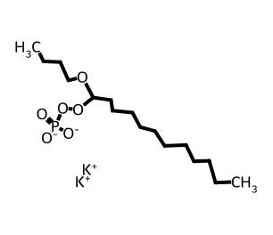 CCCCCCCCCCCC(OCCCC)OOP(=O)([O-])[O-].[K+].[K+]